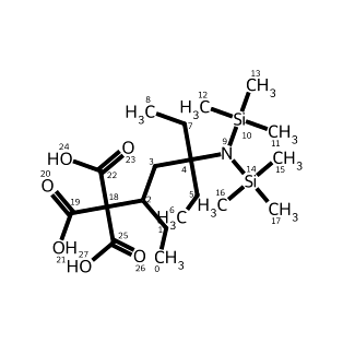 CCC(CC(CC)(CC)N([Si](C)(C)C)[Si](C)(C)C)C(C(=O)O)(C(=O)O)C(=O)O